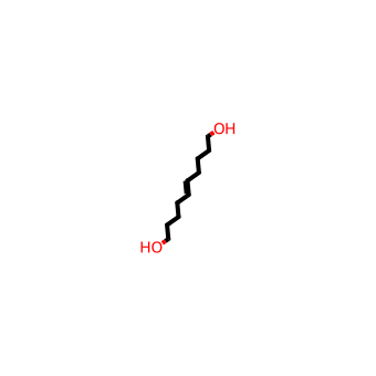 OCCCCC=CCCCCO